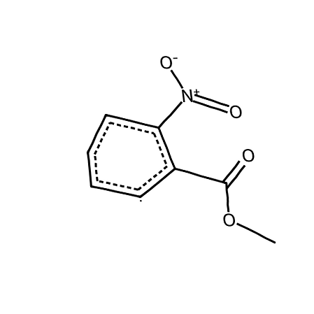 COC(=O)c1[c]cccc1[N+](=O)[O-]